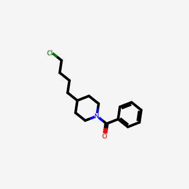 O=C(c1ccccc1)N1CCC(CCCCCl)CC1